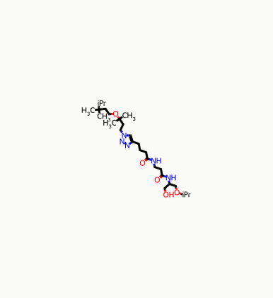 CC(C)OCC(CO)NC(=O)CCNC(=O)CCCc1cn(CCC(C)(C)OCCC(C)(C)C(C)C)nn1